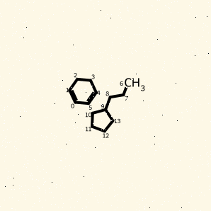 C1=CCCC=C1.CCCC1CCCC1